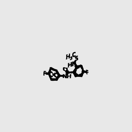 CSNc1cc(F)ccc1C(=O)NC12CCC(F)(CC1)CC2